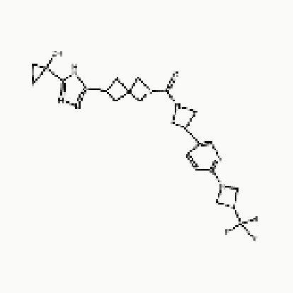 O=C(N1CC(c2ccc(N3CC(C(F)(F)F)C3)nc2)C1)N1CC2(CC(c3nnc(C4(O)CC4)[nH]3)C2)C1